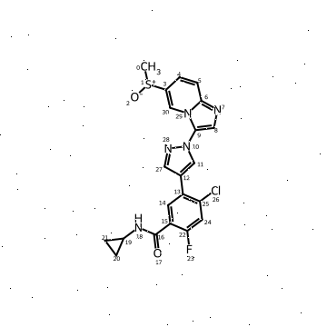 C[S+]([O-])c1ccc2ncc(-n3cc(-c4cc(C(=O)NC5CC5)c(F)cc4Cl)cn3)n2c1